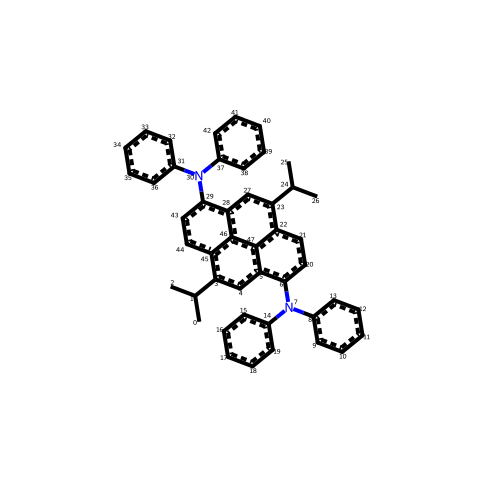 CC(C)c1cc2c(N(c3ccccc3)c3ccccc3)ccc3c(C(C)C)cc4c(N(c5ccccc5)c5ccccc5)ccc1c4c32